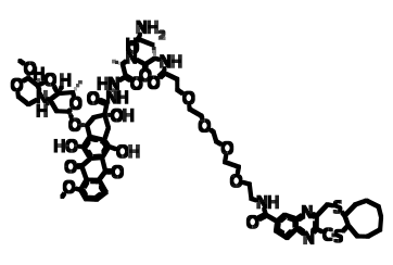 COc1cccc2c1C(=O)c1c(O)c3c(c(O)c1C2=O)C[C@@](O)(C(=O)NNC(=O)[C@H](C)NC(=O)[C@H](CC(N)=O)NC(=O)CCOCCOCCOCCOCCNC(=O)c1ccc2nc4c(nc2c1)CSC1CCCCCCCC1SC4)C[C@@H]3O[C@H]1C[C@H]2[C@H](O[C@@H]3[C@@H](OC)OCCN32)[C@H](C)O1